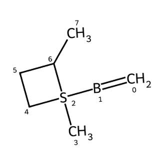 C=BS1(C)CCC1C